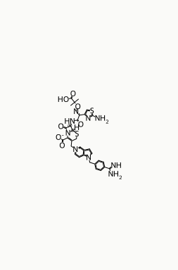 CC(C)(ON=C(C(=O)N[C@@H]1C(=O)N2C(C(=O)[O-])=C(C[n+]3ccc4c(ccn4Cc4ccc(C(=N)N)cc4)c3)CS[C@H]12)c1csc(N)n1)C(=O)O